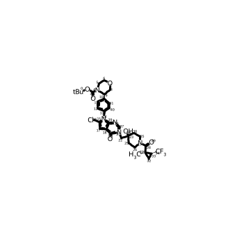 CC(C)(C)OC(=O)N1CCOC[C@H]1c1ccc(-n2c(Cl)cc3c(=O)n(CC4(O)CCN(C(=O)[C@]5(C)C[C@H]5C(F)(F)F)CC4)cnc32)cc1